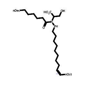 CCCCCCCC/C=C\CCCCCCCCPN(C(=O)CCCCCCCCCCCCCCC)C(CO)C(=O)O